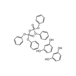 O=P(Oc1ccccc1)(Oc1ccccc1)OP(=O)(Oc1ccccc1)Oc1ccccc1.Oc1cccc(O)c1.Oc1cccc(O)c1